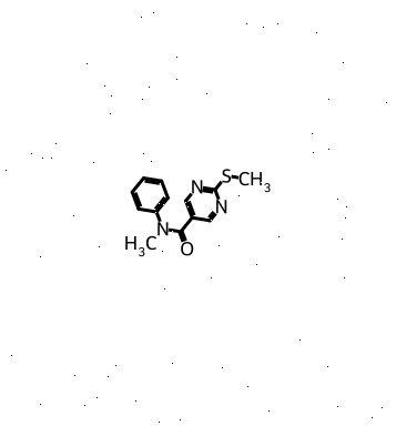 CSc1ncc(C(=O)N(C)c2ccccc2)cn1